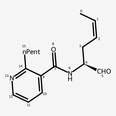 C/C=C\C[C@@H](C=O)NC(=O)c1cccnc1CCCCC